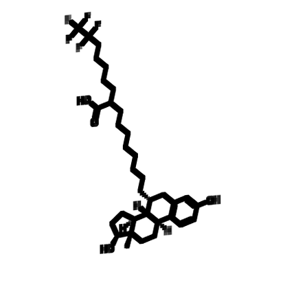 C[C@]12CC[C@@H]3c4ccc(O)cc4C[C@@H](CCCCCCCCC(CCCCCC(F)(F)C(F)(F)F)C(=O)O)[C@H]3[C@@H]1CC[C@@H]2O